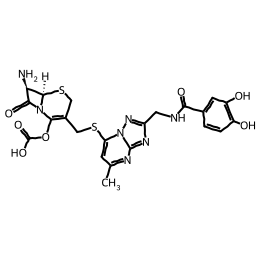 Cc1cc(SCC2=C(OC(=O)O)N3C(=O)[C@@H](N)[C@H]3SC2)n2nc(CNC(=O)c3ccc(O)c(O)c3)nc2n1